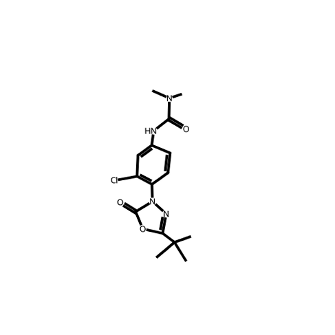 CN(C)C(=O)Nc1ccc(-n2nc(C(C)(C)C)oc2=O)c(Cl)c1